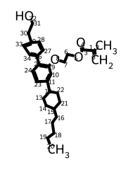 C=C(C)C(=O)OCCOc1cc(C2CCC(CCCCC)CC2)ccc1-c1ccc(CCO)cc1